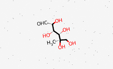 C[C@@](O)(CO)[C@@H](O)[C@H](O)[C@@H](O)C=O